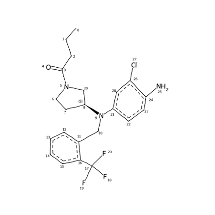 CCCC(=O)N1CC[C@H](N(Cc2ccccc2C(F)(F)F)c2ccc(N)c(Cl)c2)C1